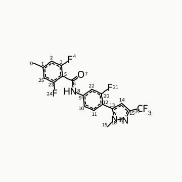 Cc1cc(F)c(C(=O)Nc2ccc(-c3cc(C(F)(F)F)nn3C)c(F)c2)c(F)c1